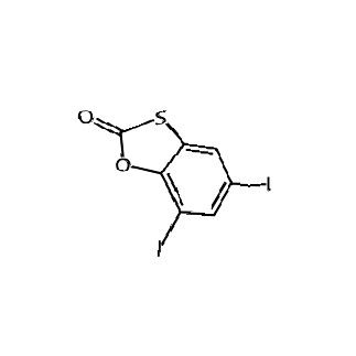 O=c1oc2c(I)cc(I)cc2s1